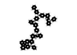 c1ccc(-c2ccc(N(c3ccc(-c4cccc5c4sc4c6ccccc6n(-c6ccccc6)c54)cc3)c3ccc(-n4c5ccccc5c5cc(-c6ccc(-n7c8ccccc8c8sc9c(-c%10ccc(N(c%11ccccc%11)c%11cccc(C%12(c%13ccccc%13)c%13ccccc%13-c%13ccccc%13%12)c%11)cc%10)cccc9c87)cc6)ccc54)cc3)cc2)cc1